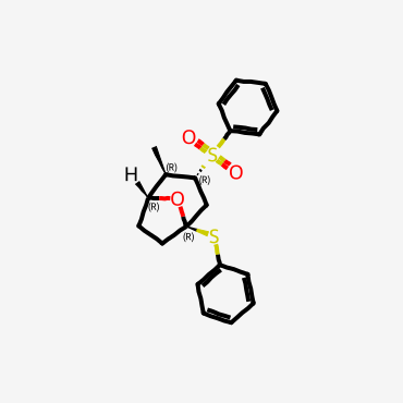 C[C@H]1[C@H](S(=O)(=O)c2ccccc2)C[C@]2(Sc3ccccc3)CC[C@H]1O2